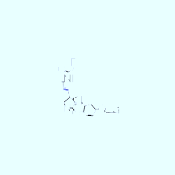 C[C@@H](/C=C/c1cnc(Oc2ccc(OCC3CC3)cc2Cl)s1)NC(=O)CF